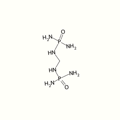 NP(N)(=O)NCNP(N)(N)=O